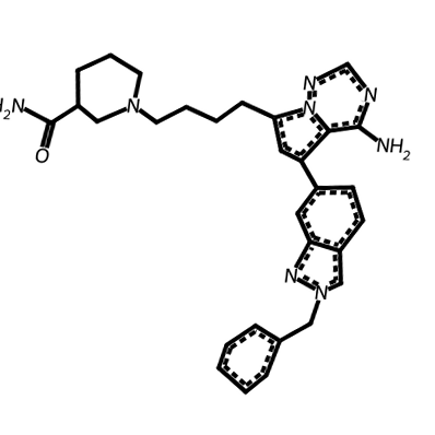 NC(=O)C1CCCN(CCCCc2cc(-c3ccc4cn(Cc5ccccc5)nc4c3)c3c(N)ncnn23)C1